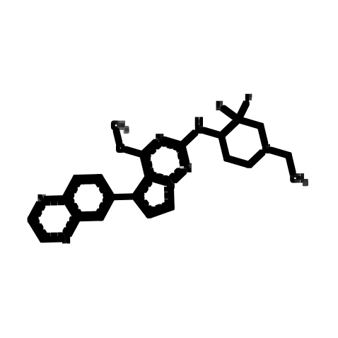 CCN1CCC(Nc2nc(OC)c3c(-c4ccc5nccnc5c4)ccn3n2)C(F)(F)C1